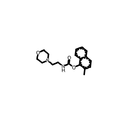 Cc1ccc2ccccc2c1OC(=O)NCCN1CCOCC1